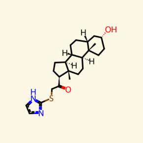 C[C@]12CC[C@@H](O)C[C@H]1CC[C@@H]1[C@@H]2CC[C@]2(C)[C@@H](C(=O)CSc3ncc[nH]3)CC[C@@H]12